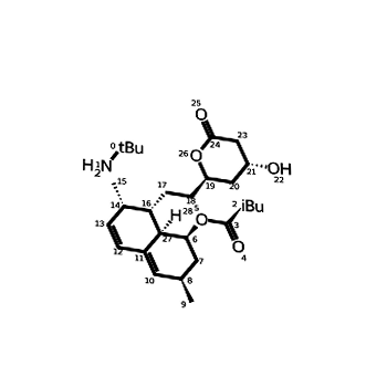 CC(C)(C)N.CC[C@H](C)C(=O)O[C@H]1C[C@@H](C)C=C2C=C[C@H](C)[C@H](CC[C@@H]3C[C@@H](O)CC(=O)O3)[C@H]21